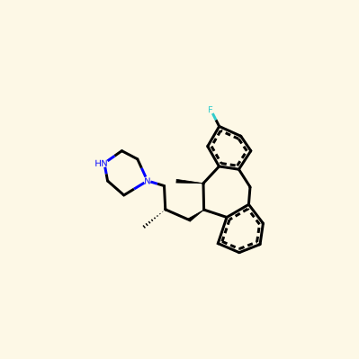 C[C@@H](C[C@@H]1c2ccccc2Cc2ccc(F)cc2[C@@H]1C)CN1CCNCC1